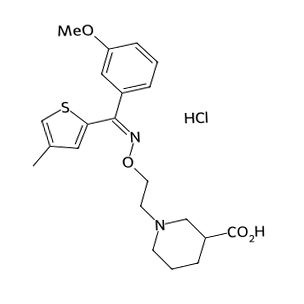 COc1cccc(C(=NOCCN2CCCC(C(=O)O)C2)c2cc(C)cs2)c1.Cl